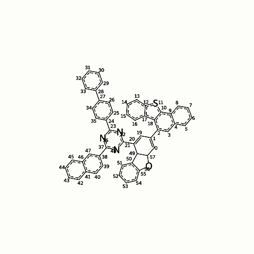 C1=C(c2cc3ccccc3c3sc4ccccc4c23)C=C(c2nc(-c3ccc(-c4ccccc4)cc3)nc(-c3ccc4ccccc4c3)n2)C2c3ccccc3OC12